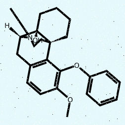 COc1ccc2c(c1Oc1ccccc1)[C@@]13CCCC[C@@]1(O)[C@@H](C2)N(C)CC3